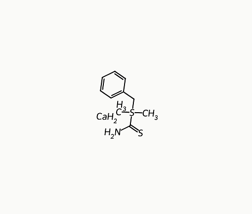 CS(C)(Cc1ccccc1)C(N)=S.[CaH2]